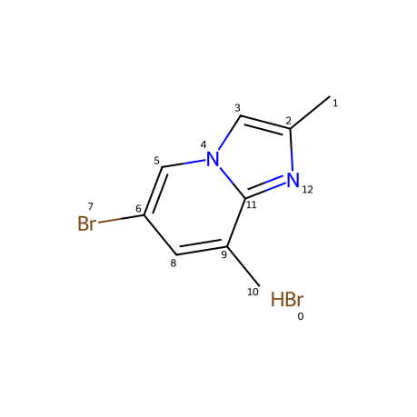 Br.Cc1cn2cc(Br)cc(C)c2n1